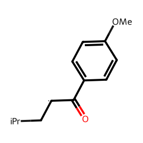 COc1ccc(C(=O)[CH]CC(C)C)cc1